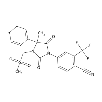 CC1(C2=CC[CH]C=C2)C(=O)N(c2ccc(C#N)c(C(F)(F)F)c2)C(=O)N1CS(C)(=O)=O